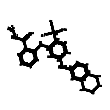 CNC(=O)c1ccccc1Oc1nc(Nc2ccc3c(c2)OCCO3)ncc1C(F)(F)F